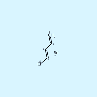 C=CC=CCl.[Sn]